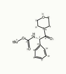 CC(C)(C)OC(=O)N[C@H](C(=O)N1CCOCC1)c1ccccc1